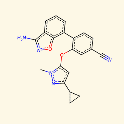 Cn1nc(C2CC2)cc1Oc1cc(C#N)ccc1-c1cccc2c(N)noc12